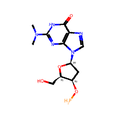 CN(C)c1nc2c(ncn2[C@H]2C[C@@H](OP)[C@@H](CO)O2)c(=O)[nH]1